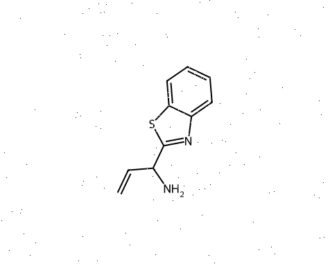 C=CC(N)c1nc2ccccc2s1